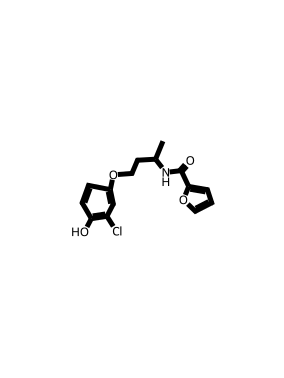 CC(CCOc1ccc(O)c(Cl)c1)NC(=O)c1ccco1